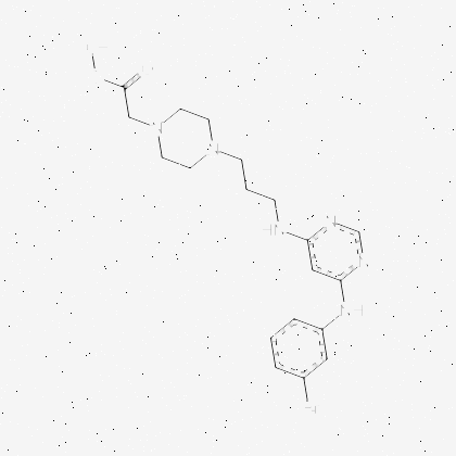 COC(=O)CN1CCN(CCCNc2cc(Nc3cccc(Br)c3)ncn2)CC1